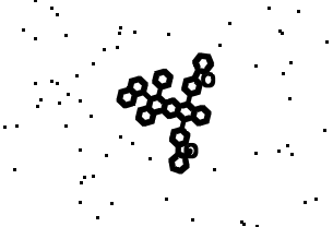 c1ccc(-c2c(-c3cccc4ccccc34)c3ccccc3c3cc4c(-c5ccc6c(c5)oc5ccccc56)c5ccccc5c(-c5ccc6c(c5)oc5ccccc56)c4cc23)cc1